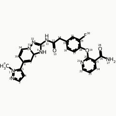 Cn1nccc1C1=CC2NC(NC(=O)Cc3ccc(Oc4ncccc4C(N)=O)c(F)c3)=NN2C=C1